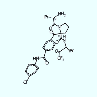 CC(C)C(NC(=O)[C@]1(C(=O)c2ccc(C(=O)Nc3ccc(Cl)cc3)cc2)CCCN1C(=O)[C@@H](N)C(C)C)C(=O)C(F)(F)F